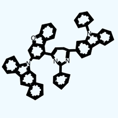 C1=C(c2cc(-n3c4ccccc4c4cc5ccccc5cc43)cc3oc4ccccc4c23)N=C(c2ccccc2)N=C(c2ccc3c4ccccc4n(-c4ccccc4)c3c2)C1